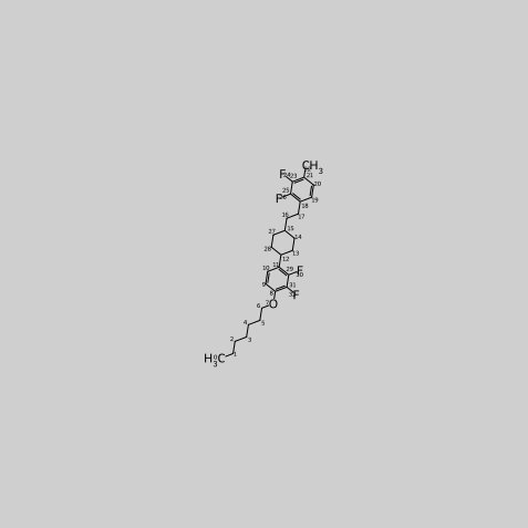 CCCCCCCOc1ccc(C2CCC(CCc3ccc(C)c(F)c3F)CC2)c(F)c1F